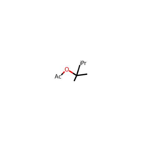 CC(=O)OC(C)(C)C(C)C